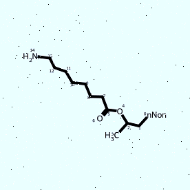 CCCCCCCCCCC(C)OC(=O)CCCCCCCN